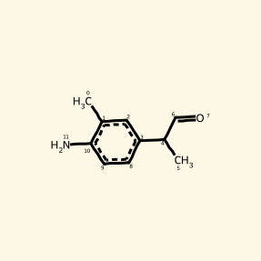 Cc1cc(C(C)C=O)ccc1N